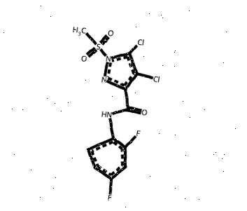 CS(=O)(=O)n1nc(C(=O)Nc2ccc(F)cc2F)c(Cl)c1Cl